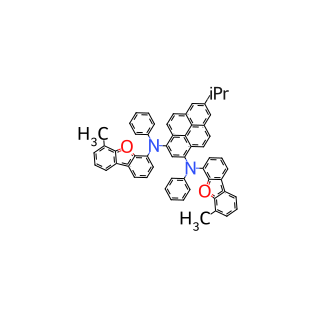 Cc1cccc2c1oc1c(N(c3ccccc3)c3cc(N(c4ccccc4)c4cccc5c4oc4c(C)cccc45)c4ccc5cc(C(C)C)cc6ccc3c4c65)cccc12